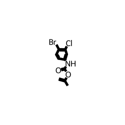 C=C(C)OC(=O)Nc1ccc(Br)c(Cl)c1